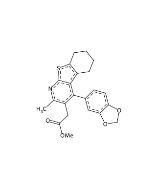 COC(=O)Cc1c(C)nc2sc3c(c2c1-c1ccc2c(c1)OCO2)CCCC3